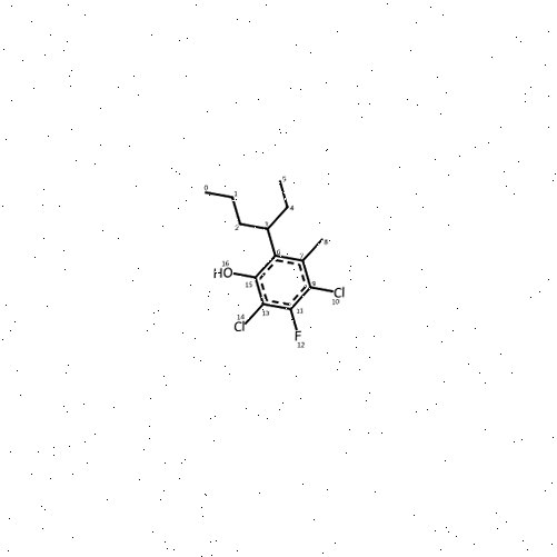 CCCC(CC)c1c(C)c(Cl)c(F)c(Cl)c1O